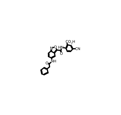 N#Cc1ccc(NC(=O)c2onc3ccc(NC(=O)Cc4ccccc4)cc23)c(C(=O)O)c1